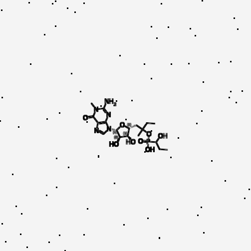 CCC(O)P(=O)(O)OC(C)(CC)C[C@H]1O[C@@H](n2cnc3c(=O)n(C)c(N)nc32)[C@H](O)[C@@H]1O